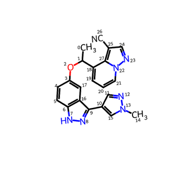 CC(Oc1ccc2[nH]nc(-c3cnn(C)c3)c2c1)c1cccn2ncc(C#N)c12